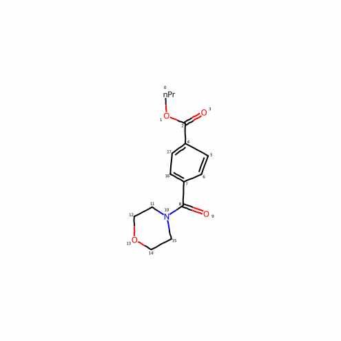 CCCOC(=O)c1ccc(C(=O)N2CCOCC2)cc1